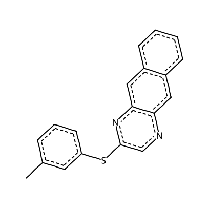 Cc1cccc(Sc2cnc3cc4ccccc4cc3n2)c1